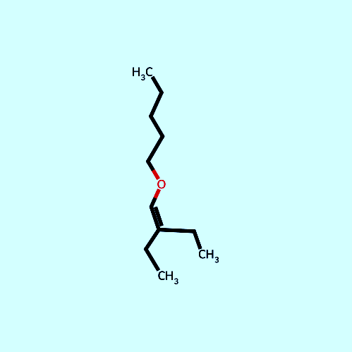 CCCCCOC=C(CC)CC